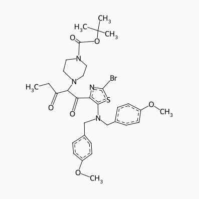 CCC(=O)C(C(=O)c1nc(Br)sc1N(Cc1ccc(OC)cc1)Cc1ccc(OC)cc1)N1CCN(C(=O)OC(C)(C)C)CC1